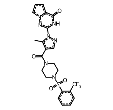 Cc1c(C(=O)N2CCN(S(=O)(=O)c3ccccc3C(F)(F)F)CC2)cnn1-c1nn2cccc2c(=O)[nH]1